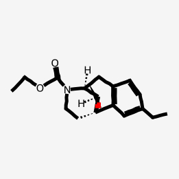 CCOC(=O)N1CC[C@@]23CCCC[C@@H]2[C@@H]1Cc1ccc(CC)cc13